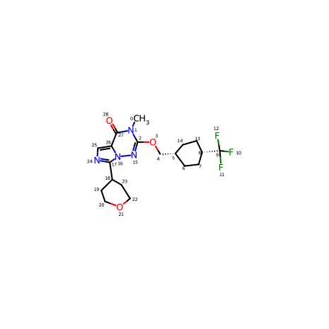 Cn1c(OC[C@H]2CC[C@@H](C(F)(F)F)CC2)nn2c(C3CCOCC3)ncc2c1=O